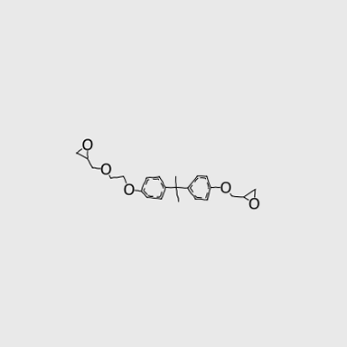 CC(C)(c1ccc(OCCOCC2CO2)cc1)c1ccc(OCC2CO2)cc1